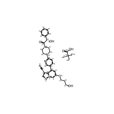 N#Cc1cnn2cc(OCCCO)cc(-c3ccc(N4CCN(C(=O)[C@@H](O)c5ccccc5)CC4)nc3)c12.O=C(O)C(F)(F)F